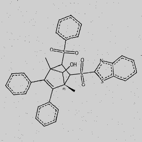 CC12C(c3ccccc3)=C(c3ccccc3)[C@](C)(C1O)C(S(=O)(=O)c1nc3ccccc3s1)C2S(=O)(=O)c1ccccc1